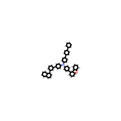 c1ccc(-c2ccc(-c3ccc(N(c4ccc(-c5cccc(-c6cccc7ccccc67)c5)cc4)c4ccc(-c5cccc6oc7ccccc7c56)cc4)cc3)cc2)cc1